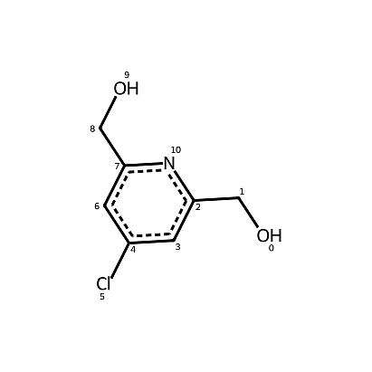 OCc1cc(Cl)cc(CO)n1